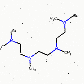 CCC(C)N(C)CCN(C)CCN(C)CCN(C)C(C)CC